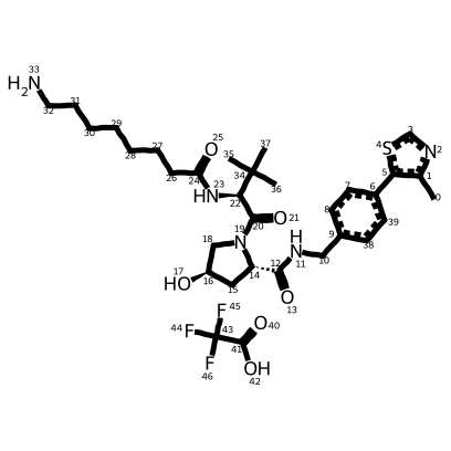 Cc1ncsc1-c1ccc(CNC(=O)[C@@H]2C[C@@H](O)CN2C(=O)[C@@H](NC(=O)CCCCCCCN)C(C)(C)C)cc1.O=C(O)C(F)(F)F